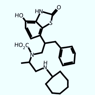 CC(CNC1CCCCCC1)N(CC(Cc1ccccc1)c1ccc(O)c2[nH]c(=O)sc12)C(=O)O